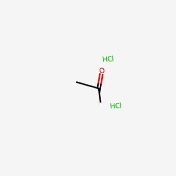 CC(C)=O.Cl.Cl